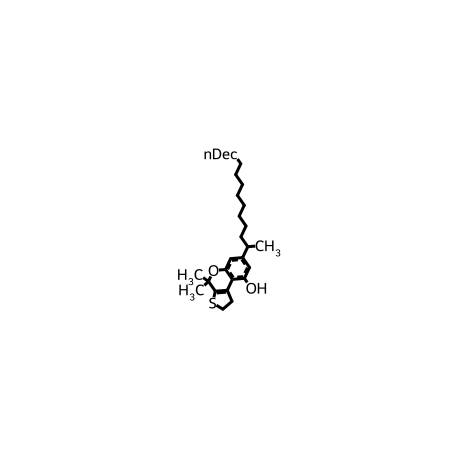 CCCCCCCCCCCCCCCCCCC(C)c1cc(O)c2c(c1)OC(C)(C)C1=C2CCS1